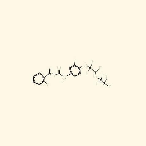 O=C(NC(=O)N(Cl)c1ccc(OC(F)(F)C(F)OC(F)(F)C(F)(F)F)c(Cl)c1)c1ccccc1Cl